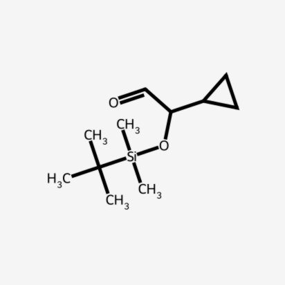 CC(C)(C)[Si](C)(C)OC(C=O)C1CC1